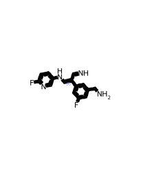 N=C/C(=C\Nc1ccc(F)nc1)c1cc(F)cc(CN)c1